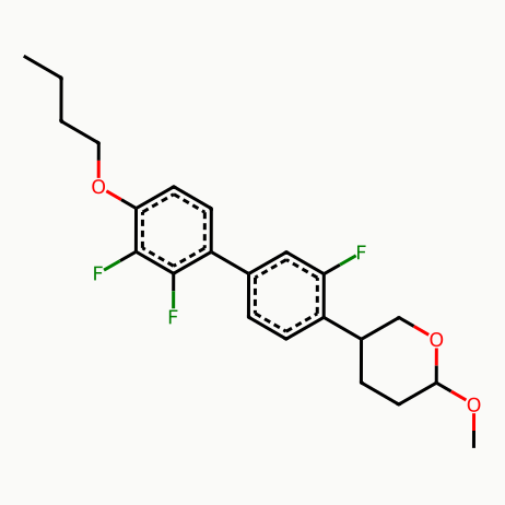 CCCCOc1ccc(-c2ccc(C3CCC(OC)OC3)c(F)c2)c(F)c1F